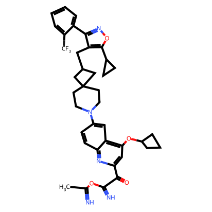 CC(=N)OC(=N)C(=O)c1cc(OC2CCC2)c2cc(N3CCC4(CC3)CC(Cc3c(-c5ccccc5C(F)(F)F)noc3C3CC3)C4)ccc2n1